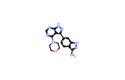 Cc1n[nH]c2cc(-c3n[nH]c4ncnc(N5CCOCC5)c34)ccc12